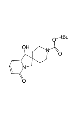 CC(C)(C)OC(=O)N1CCC2(CC1)Cn1c(cccc1=O)C2O